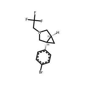 FC(F)(F)CN1C[C@H]2C[C@@]2(c2ccc(Br)cc2)C1